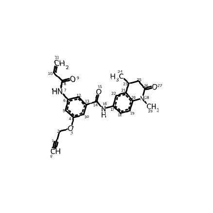 C#CCOc1cc(NC(=O)C=C)cc(C(=O)Nc2ccc3c(c2)C(C)CC(=O)N3C)c1